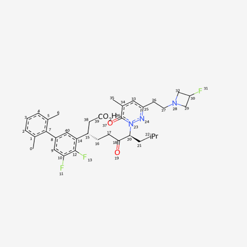 Cc1cccc(C)c1-c1cc(F)c(F)c([C@@H](CCC(=O)[C@H](CC(C)C)n2nc(CCN3CC(F)C3)cc(C)c2=O)CC(=O)O)c1